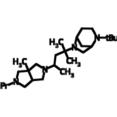 CC(C)N1CC2CN(C(C)CC(C)(C)N3CC4CC3CCN4C(C)(C)C)CC2(C)C1